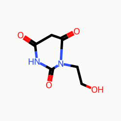 O=C1CC(=O)N(CCO)C(=O)N1